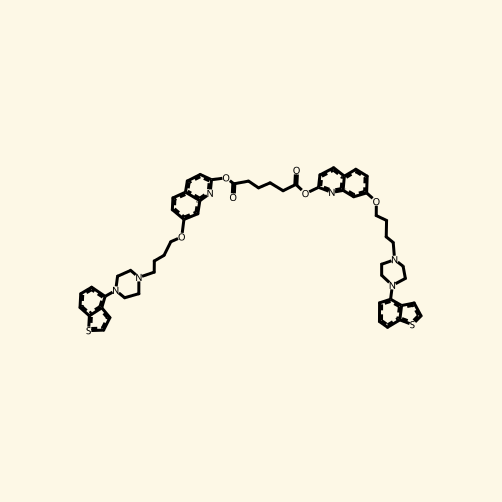 O=C(CCCCC(=O)Oc1ccc2ccc(OCCCCN3CCN(c4cccc5sccc45)CC3)cc2n1)Oc1ccc2ccc(OCCCCN3CCN(c4cccc5sccc45)CC3)cc2n1